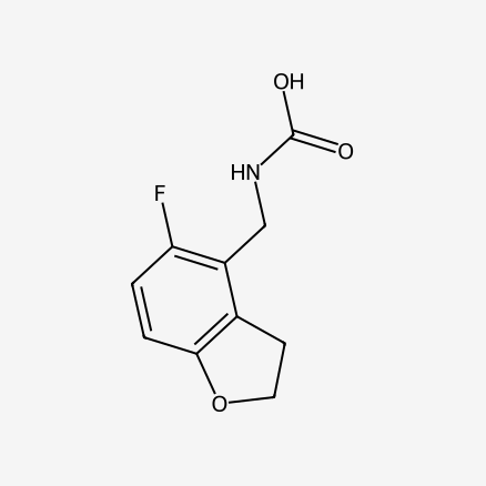 O=C(O)NCc1c(F)ccc2c1CCO2